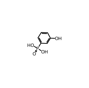 O=P(O)(O)c1cccc(O)c1